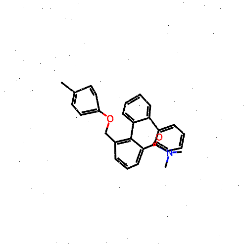 Cc1ccc(OCc2cccc(C(=O)N(C)C)c2-c2ccccc2-c2ccccc2)cc1